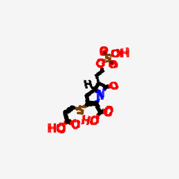 O=C(O)/C=C\SC1=C(C(=O)O)N2C(=O)[C@H](CCOS(=O)(=O)O)[C@H]2C1